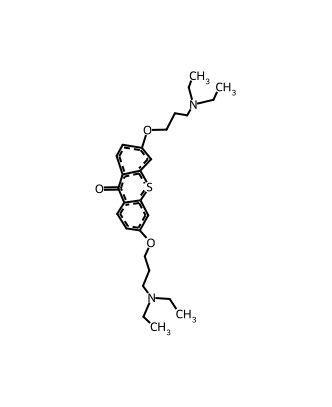 CCN(CC)CCCOc1ccc2c(=O)c3ccc(OCCCN(CC)CC)cc3sc2c1